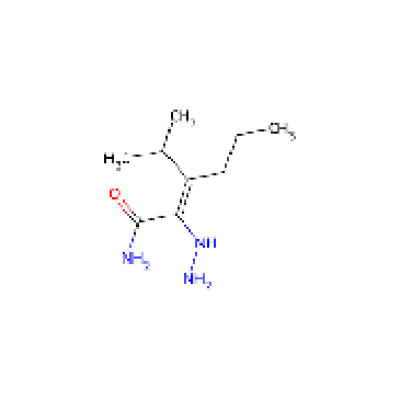 CCC/C(=C(\NN)C(N)=O)C(C)C